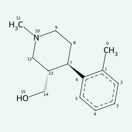 Cc1ccccc1[C@@H]1CCN(C)C[C@H]1CO